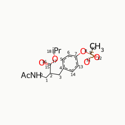 CC(=O)NCC(Cc1ccc(OS(C)(=O)=O)cc1)C(=O)OC(C)C